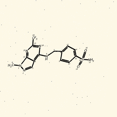 Cn1ncc2c(NCc3ccc(S(N)(=O)=O)cc3)nc(C(F)(F)F)nc21